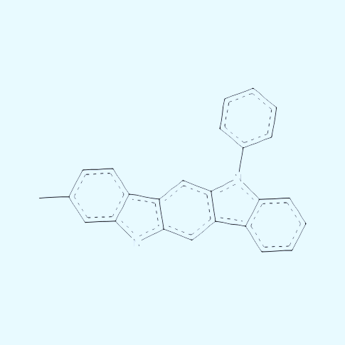 Cc1ccc2c(c1)[nH]c1cc3c4ccccc4n(-c4ccccc4)c3cc12